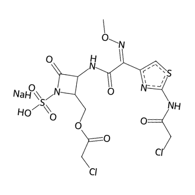 CO/N=C(\C(=O)NC1C(=O)N(S(=O)(=O)O)C1COC(=O)CCl)c1csc(NC(=O)CCl)n1.[NaH]